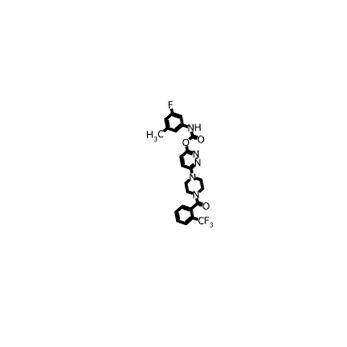 Cc1cc(F)cc(NC(=O)Oc2ccc(N3CCN(C(=O)c4ccccc4C(F)(F)F)CC3)nn2)c1